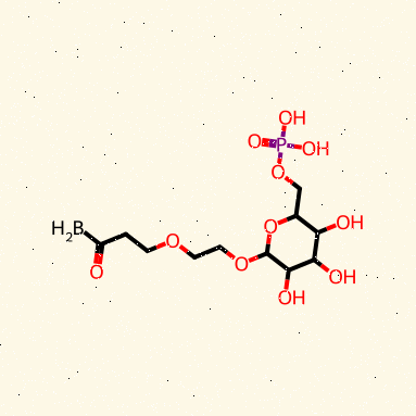 BC(=O)CCOCCOC1OC(COP(=O)(O)O)C(O)C(O)C1O